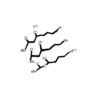 CC(C)CCCC([O-])CC([O-])C(C)(C)C.CC(C)CCCC([O-])CC([O-])C(C)(C)C.CC(C)CCCC([O-])CC([O-])C(C)(C)C.[Y+3].[Y+3]